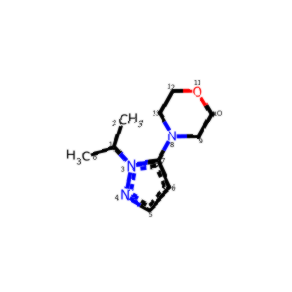 CC(C)n1nccc1N1CCOCC1